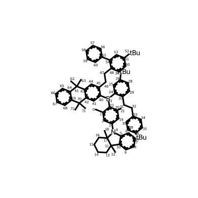 Cc1cc(N2c3ccccc3C3(C)CCCCC23C)cc(C)c1B(c1cc(C(C)(C)C)ccc1CCc1ccc(C(C)(C)C)cc1)c1cc2c(cc1CCc1ccc(C(C)(C)C)cc1-c1ccccc1)C(C)(C)c1ccccc1C2(C)C